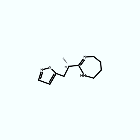 C[C@@H](Cc1ccns1)C1=NCCCCN1